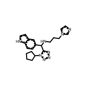 c1cn(CCCNC(c2ccc3[nH]ccc3c2)c2nnnn2C2CCCC2)cn1